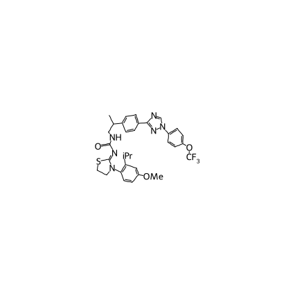 COc1ccc(N2CCS/C2=N\C(=O)NCC(C)c2ccc(-c3ncn(-c4ccc(OC(F)(F)F)cc4)n3)cc2)c(C(C)C)c1